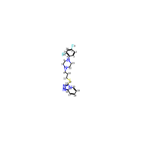 Fc1ccc(N2CCN(CCCSc3nnc4ccccn34)CC2)c(F)c1